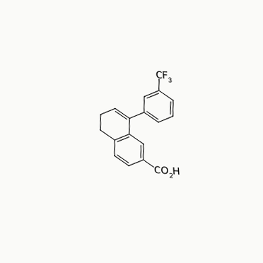 O=C(O)c1ccc2c(c1)C(c1cccc(C(F)(F)F)c1)=CCC2